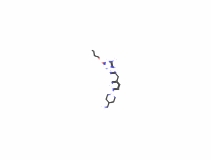 CCCCOc1nc(N)c2nc(Cc3cnc(N4CCC(CN)CC4)c(C)c3)cn2n1